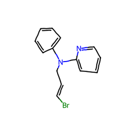 BrC=CCN(c1ccccc1)c1ccccn1